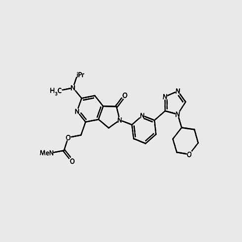 CNC(=O)OCc1nc(N(C)C(C)C)cc2c1CN(c1cccc(-c3nncn3C3CCOCC3)n1)C2=O